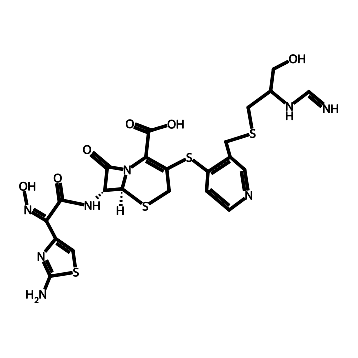 N=CNC(CO)CSCc1cnccc1SC1=C(C(=O)O)N2C(=O)[C@@H](NC(=O)/C(=N\O)c3csc(N)n3)[C@@H]2SC1